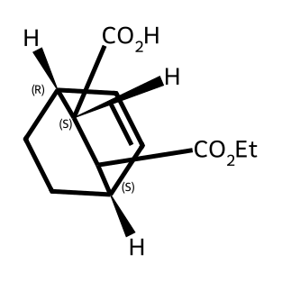 CCOC(=O)C1[C@@H]2C=C[C@@H](CC2)[C@@H]1C(=O)O